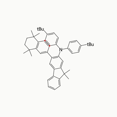 CC(C)(C)c1ccc(N(c2ccc(C(C)(C)C)cc2)c2cc3c(cc2-c2ccc4c(c2)C(C)(C)CCC4(C)C)-c2ccccc2C3(C)C)cc1